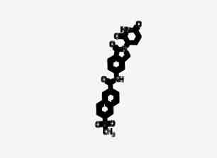 CS(=O)(=O)c1ccc2cc(C(=O)Nc3ccc4c(c3)CN(C3CCC(=O)NC3=O)C4=O)ccc2c1